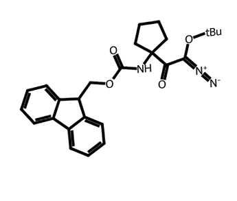 CC(C)(C)OC(=[N+]=[N-])C(=O)C1(NC(=O)OCC2c3ccccc3-c3ccccc32)CCCC1